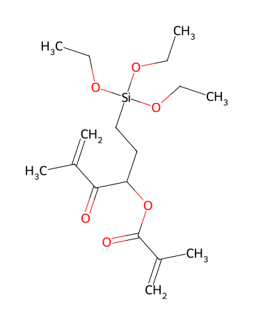 C=C(C)C(=O)OC(CC[Si](OCC)(OCC)OCC)C(=O)C(=C)C